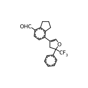 O=Cc1ccc(C2=COC(c3ccccc3)(C(F)(F)F)C2)c2c1CCC2